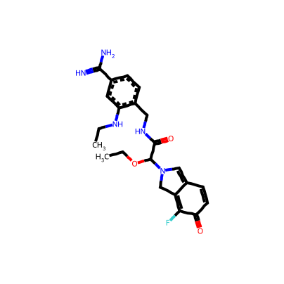 CCNc1cc(C(=N)N)ccc1CNC(=O)C(OCC)N1C=C2C=CC(=O)C(F)=C2C1